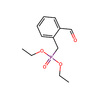 CCOP(=O)(Cc1ccccc1C=O)OCC